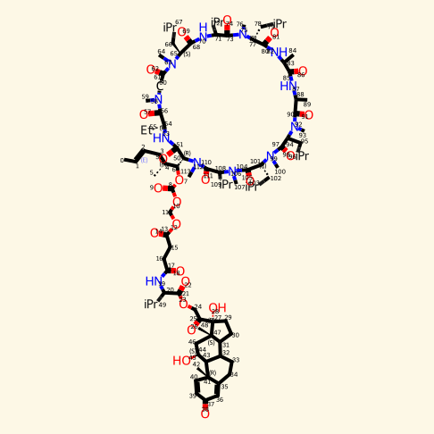 C/C=C/C[C@@H](C)C(OC(=O)OCOC(=O)CCC(=O)NC(C(=O)OCC(=O)[C@@]1(O)CCC2C3CCC4=CC(=O)C=C[C@]4(C)C3[C@@H](O)C[C@@]21C)C(C)C)[C@@H]1C(=O)N[C@H](CC)C(=O)N(C)CC(=O)N(C)[C@@H](CC(C)C)C(=O)NC(C(C)C)C(=O)N(C)[C@H](CC(C)C)C(=O)NC(C)C(=O)NC(C)C(=O)N(C)C(CC(C)C)C(=O)N(C)[C@H](CC(C)C)C(=O)N(C)C(C(C)C)C(=O)N1C